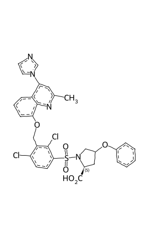 Cc1cc(-n2ccnc2)c2cccc(OCc3c(Cl)ccc(S(=O)(=O)N4CC(Oc5ccccc5)C[C@H]4C(=O)O)c3Cl)c2n1